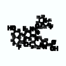 CCc1c(F)ccc2cc(O)cc(-c3c(F)cc4c(N5CCCn6nc(C(=O)O)cc6C5)nc(OC[C@@]56CCCN5C[C@H](F)C6)nc4c3F)c12